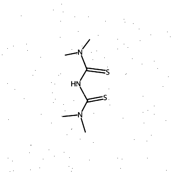 CN(C)C(=S)NC(=S)N(C)C